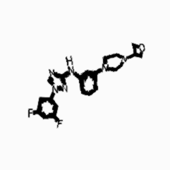 Fc1cc(F)cc(-n2cnc(Nc3cccc(N4CCN(C5COC5)CC4)c3)n2)c1